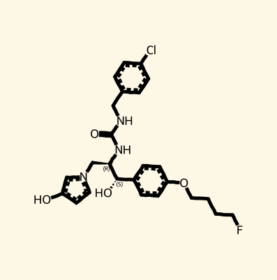 O=C(NCc1ccc(Cl)cc1)N[C@H](Cn1ccc(O)c1)[C@@H](O)c1ccc(OCCCCF)cc1